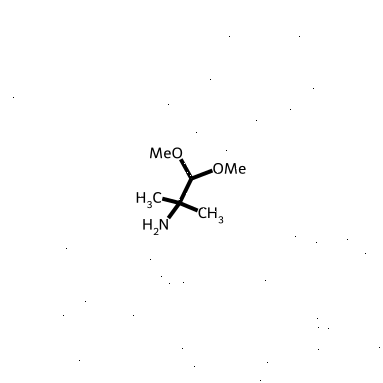 COC(OC)C(C)(C)N